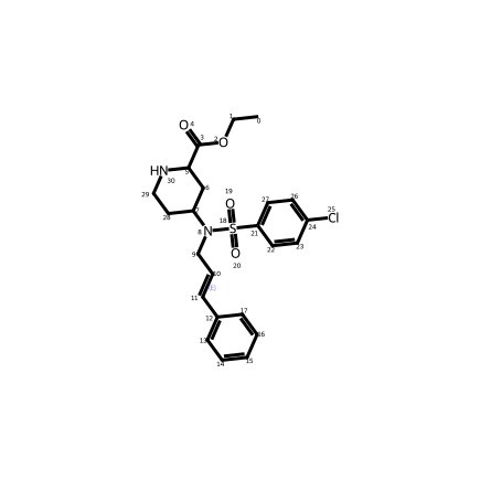 CCOC(=O)C1CC(N(C/C=C/c2ccccc2)S(=O)(=O)c2ccc(Cl)cc2)CCN1